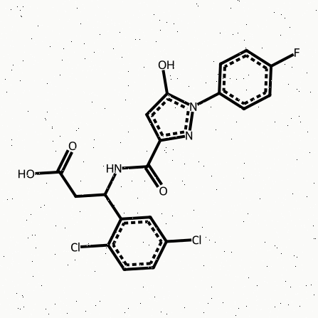 O=C(O)CC(NC(=O)c1cc(O)n(-c2ccc(F)cc2)n1)c1cc(Cl)ccc1Cl